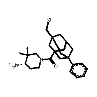 CC1(C)CN(C(=O)C23CC4CC(CCl)(C2)CC(c2ccccc2)(C4)C3)CC[C@@H]1N